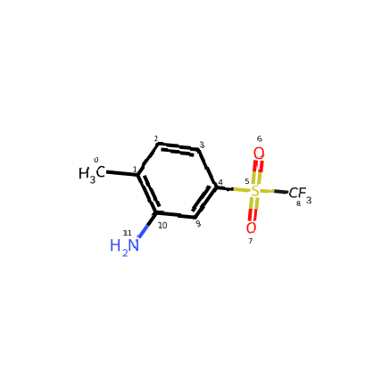 Cc1ccc(S(=O)(=O)C(F)(F)F)cc1N